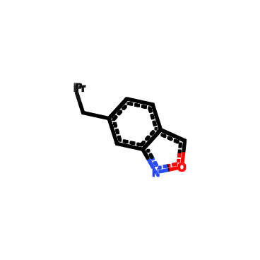 CC(C)Cc1ccc2conc2c1